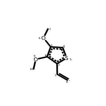 [CH]=Cc1s[c]c(OC)c1OC